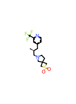 C[C@@H](Cc1ccnc(C(F)(F)F)c1)CN1CCC2(C1)CS(=O)(=O)C2